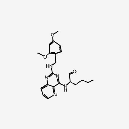 CCCC[C@H](C=O)Nc1nc(NCc2ccc(OC)cc2OC)nc2cccnc12